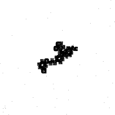 CC(=O)N1CC2CC(c3ccc(CCCOc4cccc(Cl)c4)cc3)=C(COC(=O)C(F)(F)F)C(C1)N2